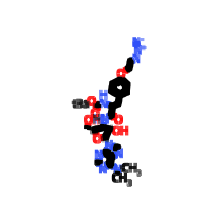 CN(C)c1ncnc2c1ncn2[C@@H]1O[C@H](CO)C(NC(=O)C(Cc2ccc(OCCN=[N+]=[N-])cc2)NC(=O)OC(C)(C)C)[C@@H]1O